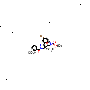 CC(C)(C)OC(=O)N1CC[C@H]([C@@](CNC(=O)c2ccccc2C(=O)O)(Cc2cccc(Br)c2)C(=O)O)C1